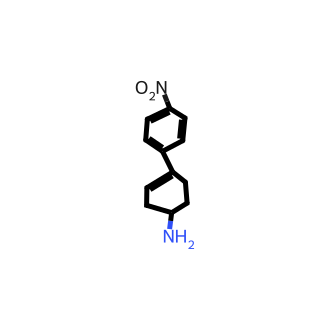 NC1CC=C(c2ccc([N+](=O)[O-])cc2)CC1